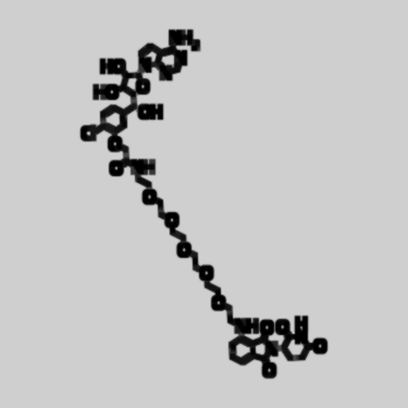 Nc1ncnc2c1ccn2[C@@H]1O[C@H]([C@H](O)c2ccc(Cl)c(OCC(=O)NCCOCCOCCOCCOCCOCCNc3cccc4c3C(=O)N(C3CCC(=O)NC3=O)C4=O)c2)[C@@H](O)[C@H]1O